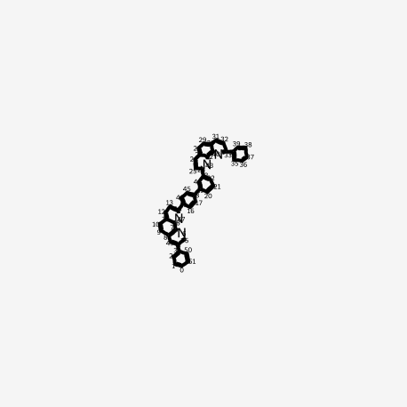 c1ccc(-c2cnc3c(ccc4ccc(-c5ccc(-c6cccc(-c7ccc8ccc9ccc(-c%10ccccc%10)nc9c8n7)c6)cc5)nc43)c2)cc1